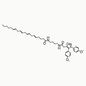 CCCCCC=CCC=CCC=CCC=CCCCC(=O)NCCCCNC(=O)Cc1onc(-c2ccc(OC)cc2)c1-c1ccc(OC)cc1